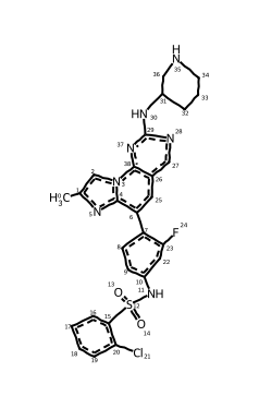 Cc1cn2c(n1)c(-c1ccc(NS(=O)(=O)c3ccccc3Cl)cc1F)cc1cnc(NC3CCCNC3)nc12